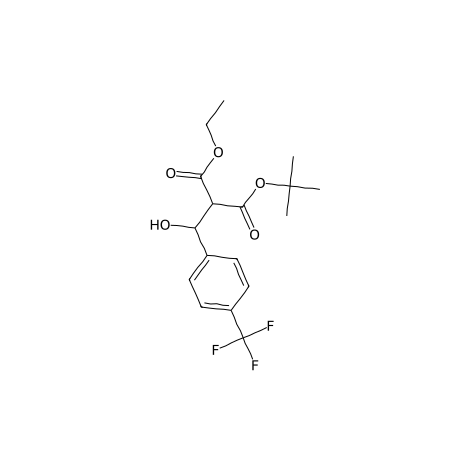 CCOC(=O)C(C(=O)OC(C)(C)C)C(O)c1ccc(C(F)(F)F)cc1